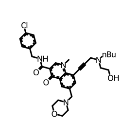 CCCCN(CC#Cc1cc(CN2CCOCC2)cc2c(=O)c(C(=O)NCc3ccc(Cl)cc3)cn(C)c12)CCO